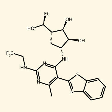 CC[C@H](O)[C@H]1C[C@@H](Nc2nc(NCC(F)(F)F)nc(C)c2-c2nc3ccccc3s2)[C@H](O)[C@@H]1O